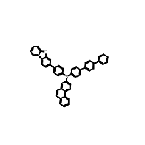 c1ccc(-c2ccc(-c3ccc(N(c4ccc(-c5ccc6c(c5)oc5ccccc56)cc4)c4ccc5c(ccc6ccccc65)c4)cc3)cc2)cc1